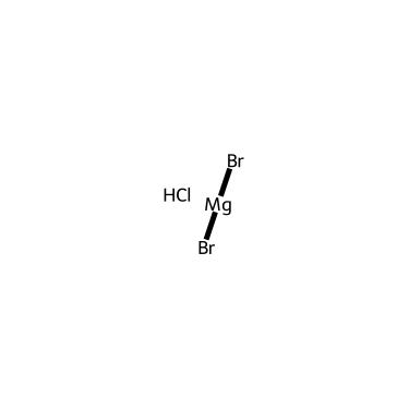 Cl.[Br][Mg][Br]